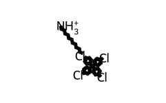 CCCCCCCCCCCC[NH3+].Clc1ccc([B-](c2ccc(Cl)cc2)(c2ccc(Cl)cc2)c2ccc(Cl)cc2)cc1